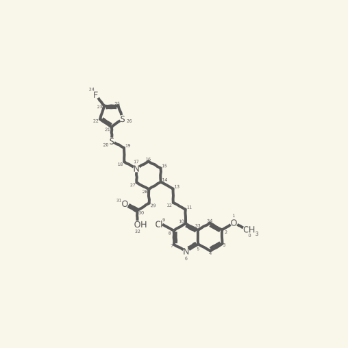 COc1ccc2ncc(Cl)c(CCCC3CCN(CCSc4cc(F)cs4)CC3CC(=O)O)c2c1